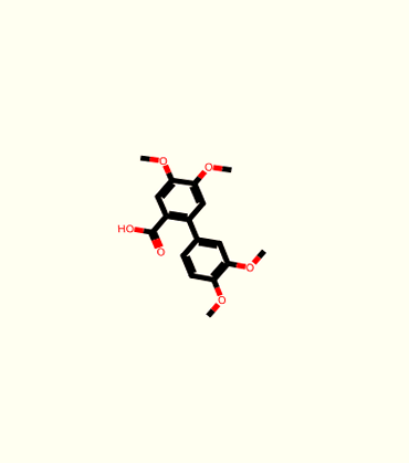 COc1ccc(-c2cc(OC)c(OC)cc2C(=O)O)cc1OC